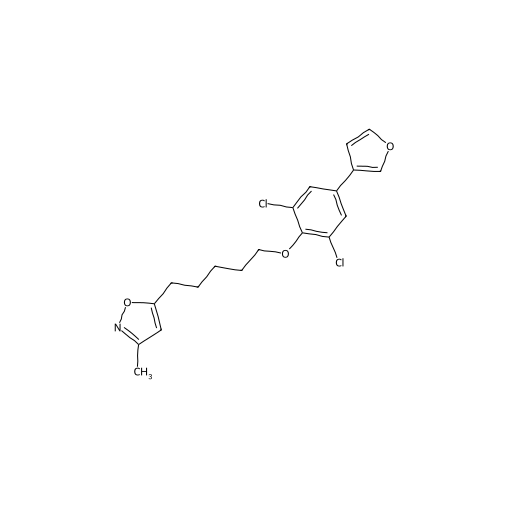 Cc1cc(CCCCCOc2c(Cl)cc(-c3ccoc3)cc2Cl)on1